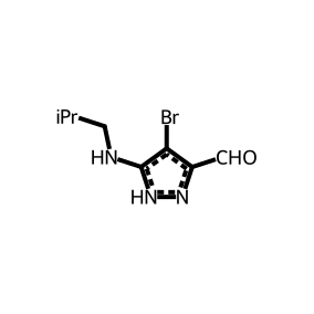 CC(C)CNc1[nH]nc(C=O)c1Br